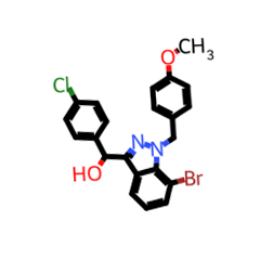 COc1ccc(Cn2nc(C(O)c3ccc(Cl)cc3)c3cccc(Br)c32)cc1